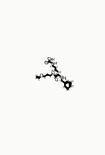 CCOCCCNC(=O)[C@H](CCCCNC(=O)O)NCc1ccccc1